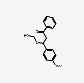 COc1ccc(C(CC(=O)c2ccccc2)SCO)cc1